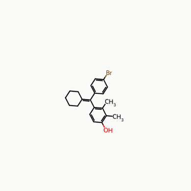 Cc1c(O)ccc(C(=C2CCCCC2)c2ccc(Br)cc2)c1C